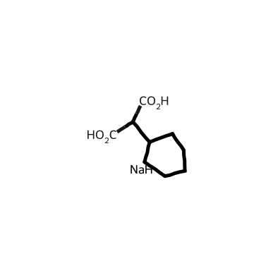 O=C(O)C(C(=O)O)C1CCCCC1.[NaH]